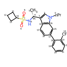 CCCn1cc([C@@H](C)NS(=O)(=O)C2CCC2)c2ccc(-c3ccccc3C(F)(F)F)cc21